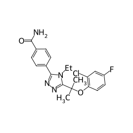 CCn1c(-c2ccc(C(N)=O)cc2)nnc1C(C)(C)Oc1ccc(F)cc1Cl